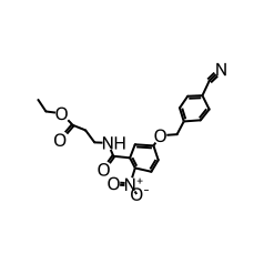 CCOC(=O)CCNC(=O)c1cc(OCc2ccc(C#N)cc2)ccc1[N+](=O)[O-]